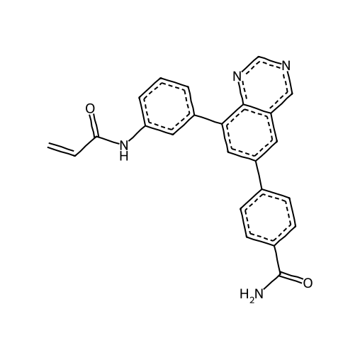 C=CC(=O)Nc1cccc(-c2cc(-c3ccc(C(N)=O)cc3)cc3cncnc23)c1